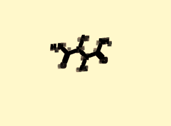 CC(=O)N(C(N)=O)N(C(C)=O)C(N)=O